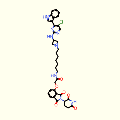 O=C(COc1cccc2c1C(=O)N(C1CCC(=O)NC1=O)C2=O)NCCCCCCCN1CC(Nc2ncc(Cl)c(-c3c[nH]c4ccccc34)n2)C1